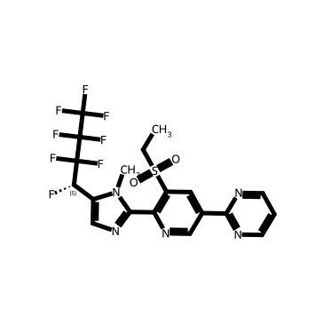 CCS(=O)(=O)c1cc(-c2ncccn2)cnc1-c1ncc([C@H](F)C(F)(F)C(F)(F)C(F)(F)F)n1C